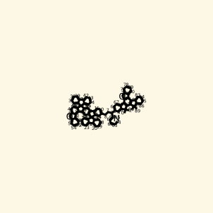 CC1(C)c2cc(C(CCc3ccc4c(c3)C3(c5ccccc5-c5ccccc53)c3cc5c(cc3-4)C3(c4ccccc4-c4ccccc43)c3ccc4oc6ccccc6c4c3-5)c3ccccn3)ccc2-c2c1c1c(c3c2oc2ccccc23)-c2ccccc2C1(C)C